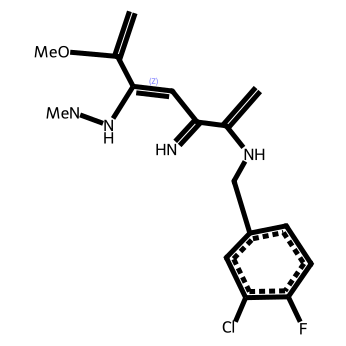 C=C(NCc1ccc(F)c(Cl)c1)C(=N)/C=C(\NNC)C(=C)OC